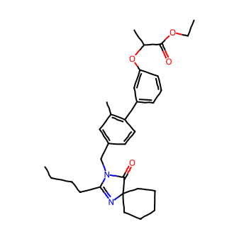 CCCCC1=NC2(CCCCC2)C(=O)N1Cc1ccc(-c2cccc(OC(C)C(=O)OCC)c2)c(C)c1